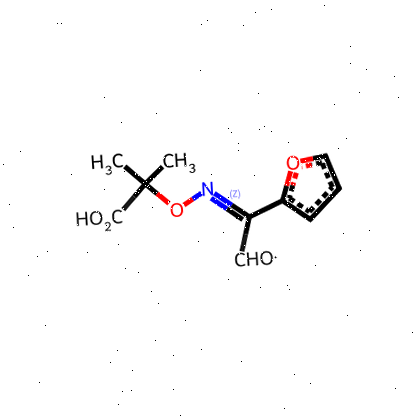 CC(C)(O/N=C(\[C]=O)c1ccco1)C(=O)O